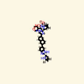 CC(C1CCOCC1)[N+](O)(C(=O)[O-])N1[C@@H]2C[C@@H]2C[C@H]1c1nc(-c2ccc3cc(-c4ccc5nc([C@@H]6C[C@H]7C[C@H]7N6)[nH]c5c4)ccc3c2)c[nH]1